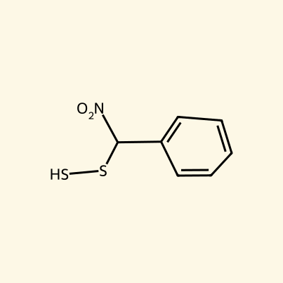 O=[N+]([O-])C(SS)c1ccccc1